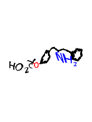 CC(C)(Oc1ccc(CC(N)Cc2ccccc2)cc1)C(=O)O